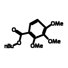 CCCCOC(=O)c1ccc(OC)c(OC)c1OC